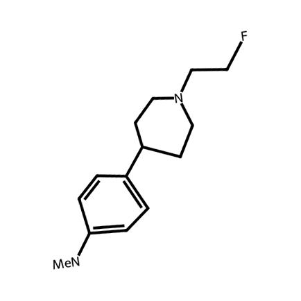 CNc1ccc(C2CCN(CCF)CC2)cc1